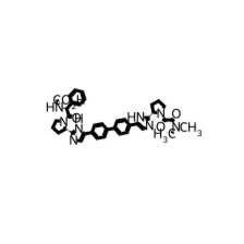 CN(C)C(=O)C(=O)N1CCC[C@H]1c1ncc(-c2ccc(-c3ccc(-c4cnc([C@@H]5CCCN5C(=O)[C@H](NC(=O)O)c5ccccc5)[nH]4)cc3)cc2)[nH]1